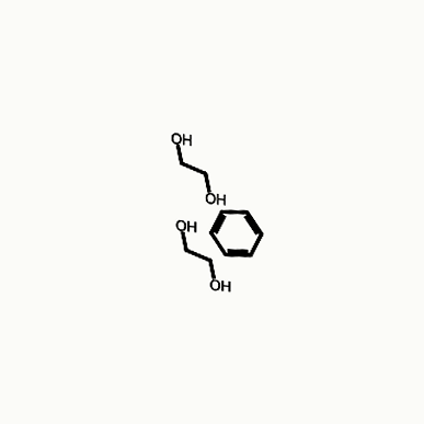 OCCO.OCCO.c1ccccc1